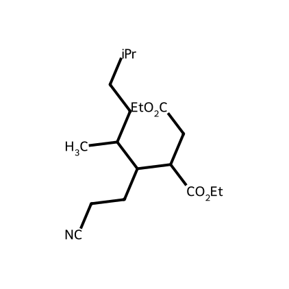 CCOC(=O)CC(C(=O)OCC)C(CCC#N)C(C)CCC(C)C